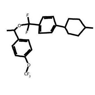 CC1CCC(c2ccc(C(F)(F)OC(C)c3ccc(OC(F)(F)F)cc3)cc2)CC1